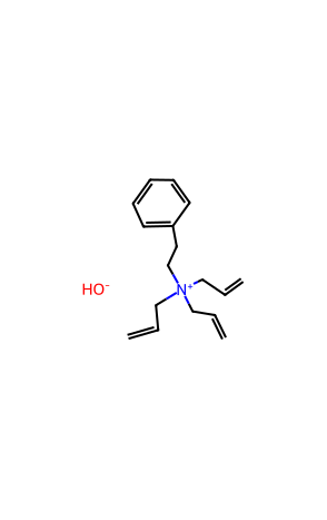 C=CC[N+](CC=C)(CC=C)CCc1ccccc1.[OH-]